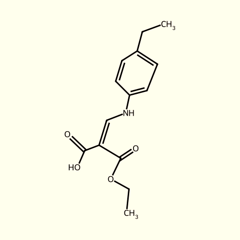 CCOC(=O)C(=CNc1ccc(CC)cc1)C(=O)O